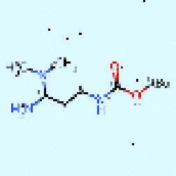 CN(C)C(N)CCNC(=O)OC(C)(C)C